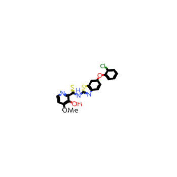 COc1ccnc(C(=S)Nc2nc3ccc(Oc4ccccc4Cl)cc3s2)c1O